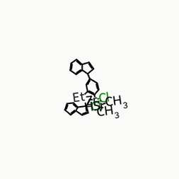 CCc1cc(C2C=Cc3ccccc32)cc[c]1[Zr]([Cl])([Cl])([CH2]C1C=Cc2ccccc21)[SiH](C)C